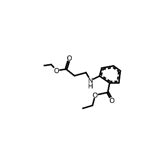 CCOC(=O)CCNc1ccccc1C(=O)OCC